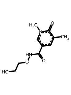 Cc1cc(C(=O)NOCCO)cn(C)c1=O